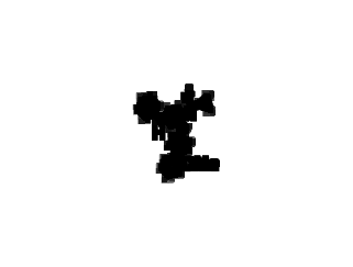 C=N/C(=N\c1ccc(Nc2ccccc2)cc1CN1CCN(c2ccccc2OC)CC1)C1CC1